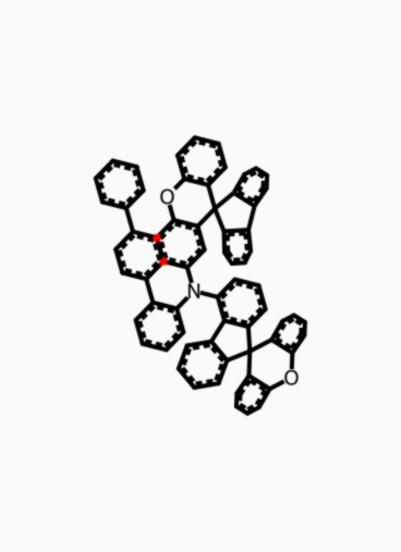 c1ccc(-c2ccc(-c3ccccc3N(c3ccc4c(c3)C3(c5ccccc5O4)c4ccccc4-c4ccccc43)c3cccc4c3-c3ccccc3C43c4ccccc4Oc4ccccc43)cc2)cc1